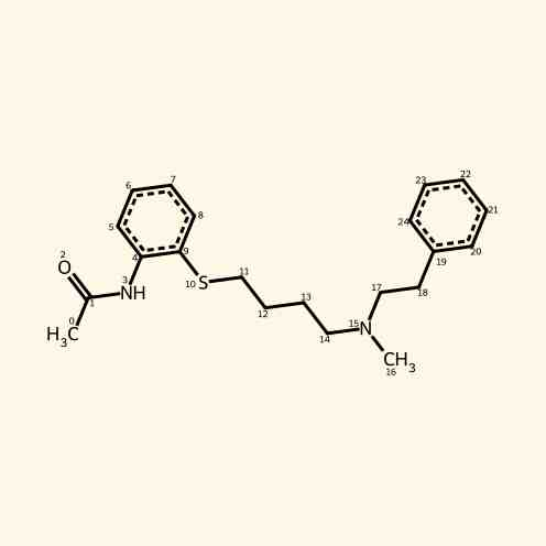 CC(=O)Nc1ccccc1SCCCCN(C)CCc1ccccc1